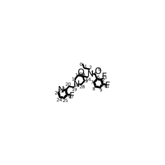 CC1CN(C(=O)c2cccc(F)c2F)CC2(CCN(CCc3ncccc3F)CC2)O1